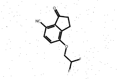 N#Cc1ccc(OCC(F)F)c2c1C(=O)CC2